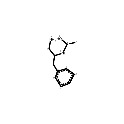 C[C@H](O)NC(CN)Cc1ccccc1